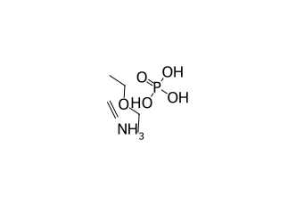 C=C.CCOCC.N.O=P(O)(O)O